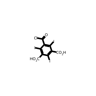 O=C(O)c1c(I)c(C(=O)O)c(I)c(C(=O)Cl)c1I